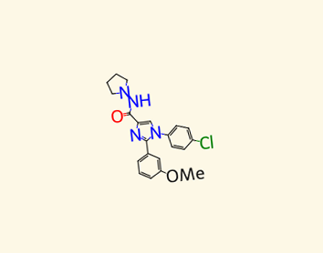 COc1cccc(-c2nc(C(=O)NN3CCCC3)cn2-c2ccc(Cl)cc2)c1